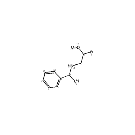 CCC(CNC(C#N)c1ccccc1)OC